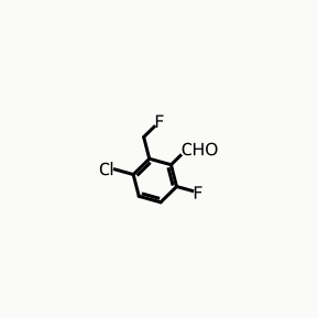 O=Cc1c(F)ccc(Cl)c1CF